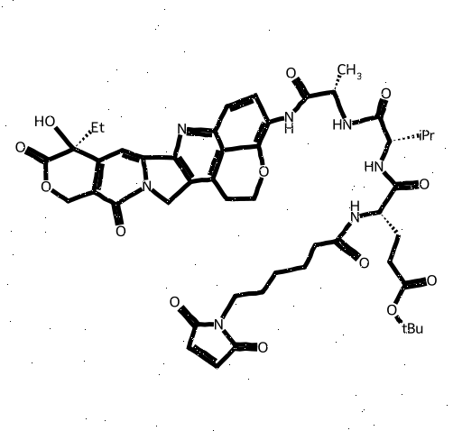 CC[C@@]1(O)C(=O)OCc2c1cc1n(c2=O)Cc2c-1nc1ccc(NC(=O)[C@H](C)NC(=O)[C@@H](NC(=O)[C@H](CCC(=O)OC(C)(C)C)NC(=O)CCCCCN3C(=O)C=CC3=O)C(C)C)c3c1c2CCO3